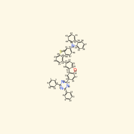 c1ccc(-c2nc(-c3ccccc3)nc(-c3ccc4oc5ccc(-c6cccc7sc8cc(-n9c%10ccccc%10c%10ccccc%109)ccc8c67)cc5c4c3)n2)cc1